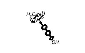 C[C@H](O)c1nccn1[C@@H](C#Cc1ccc(-c2ccc(C3CC(O)C3)cc2)cc1)CO